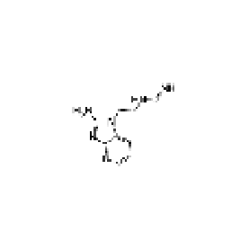 N=CNCCn1c(N)nc2ncccc21